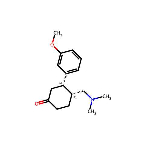 COc1cccc([C@H]2CC(=O)CC[C@H]2CN(C)C)c1